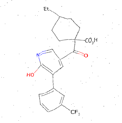 CCC1CCC(C(=O)O)(C(=O)c2cnc(O)c(-c3cccc(C(F)(F)F)c3)c2)CC1